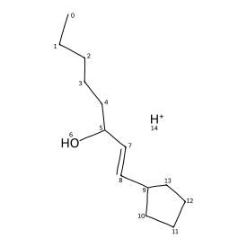 CCCCCC(O)C=CC1CCCC1.[H+]